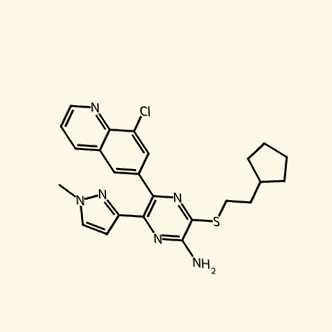 Cn1ccc(-c2nc(N)c(SCCC3CCCC3)nc2-c2cc(Cl)c3ncccc3c2)n1